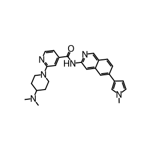 CN(C)C1CCN(c2cc(C(=O)Nc3cc4cc(-c5ccn(C)c5)ccc4cn3)ccn2)CC1